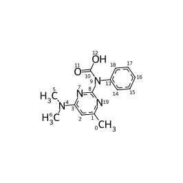 Cc1cc(N(C)C)nc(N(C(=O)O)c2ccccc2)n1